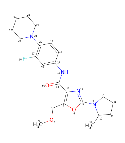 COCc1oc(N2CCCC2C)nc1C(=O)Nc1ccc(N2CCCCC2)c(F)c1